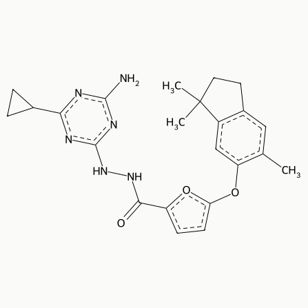 Cc1cc2c(cc1Oc1ccc(C(=O)NNc3nc(N)nc(C4CC4)n3)o1)C(C)(C)CC2